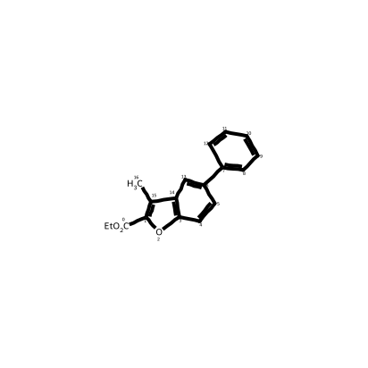 CCOC(=O)c1oc2ccc(-c3ccccc3)cc2c1C